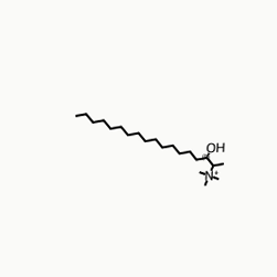 CCCCCCCCCCCCCCC[C@@H](O)C(C)[N+](C)(C)C